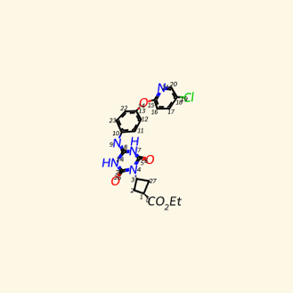 CCOC(=O)[C@H]1C[C@H](n2c(=O)[nH]c(=Nc3ccc(Oc4ccc(Cl)cn4)cc3)[nH]c2=O)C1